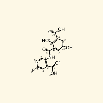 O=C(O)c1cc(F)ncc1NC(=O)c1cc(O)cc(C(=O)O)c1O